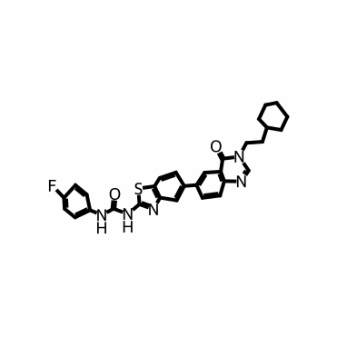 O=C(Nc1ccc(F)cc1)Nc1nc2cc(-c3ccc4ncn(CCC5CCCCC5)c(=O)c4c3)ccc2s1